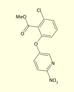 COC(=O)c1c(Cl)cccc1Oc1ccc([N+](=O)[O-])nc1